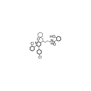 O=C(NCCCC1CC2(CCCCC2)Oc2nc(-c3ccccc3Cl)c(-c3ccc(Cl)cc3)cc21)c1ccccc1O